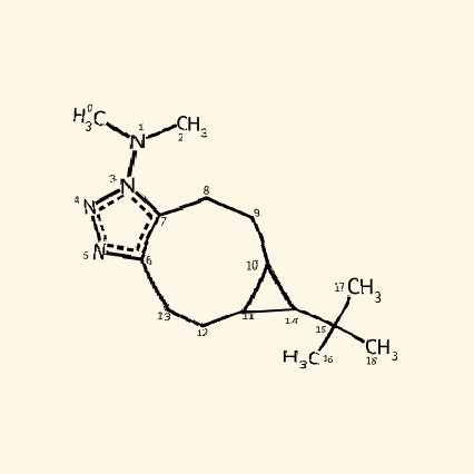 CN(C)n1nnc2c1CCC1C(CC2)C1C(C)(C)C